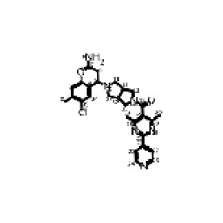 Cc1ccc(C(CC(N)=O)N2CC3CN(C(=O)c4c(C)nc(-c5ccncc5)nc4C)CC3C2)cc1Cl